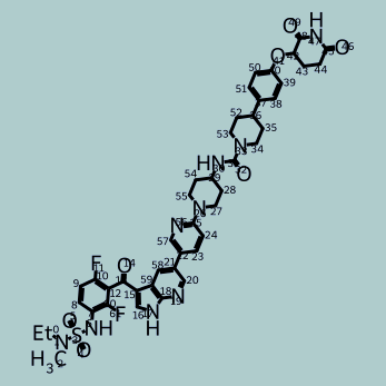 CCN(C)S(=O)(=O)Nc1ccc(F)c(C(=O)c2c[nH]c3ncc(-c4ccc(N5CCC(NC(=O)N6CCC(c7ccc(OC8CCC(=O)NC8=O)cc7)CC6)CC5)nc4)cc23)c1F